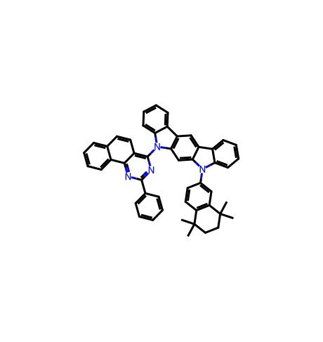 CC1(C)CCC(C)(C)c2cc(-n3c4ccccc4c4cc5c6ccccc6n(-c6nc(-c7ccccc7)nc7c6ccc6ccccc67)c5cc43)ccc21